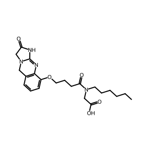 CCCCCCN(CC(=O)O)C(=O)CCCOc1cccc2c1N=C1NC(=O)CN1C2